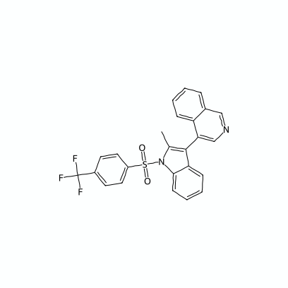 Cc1c(-c2cncc3ccccc23)c2ccccc2n1S(=O)(=O)c1ccc(C(F)(F)F)cc1